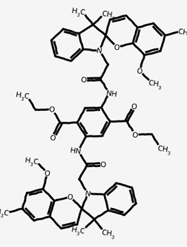 CCOC(=O)c1cc(NC(=O)CN2c3ccccc3C(C)(C)C23C=Cc2cc(C)cc(OC)c2O3)c(C(=O)OCC)cc1NC(=O)CN1c2ccccc2C(C)(C)C12C=Cc1cc(C)cc(OC)c1O2